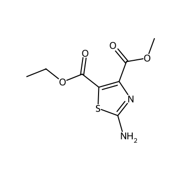 CCOC(=O)c1sc(N)nc1C(=O)OC